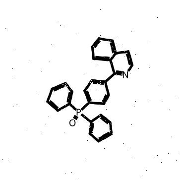 O=P(c1ccccc1)(c1ccccc1)c1ccc(-c2nccc3ccccc23)cc1